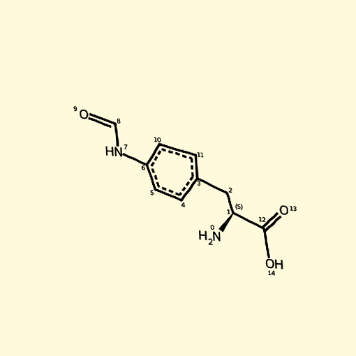 N[C@@H](Cc1ccc(NC=O)cc1)C(=O)O